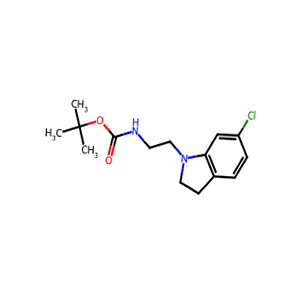 CC(C)(C)OC(=O)NCCN1CCc2ccc(Cl)cc21